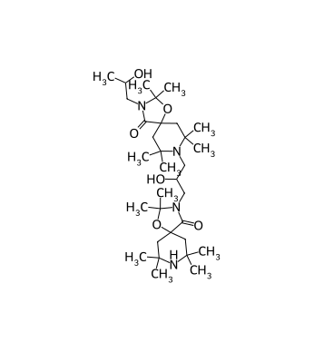 CC(O)CN1C(=O)C2(CC(C)(C)N(CC(O)CN3C(=O)C4(CC(C)(C)NC(C)(C)C4)OC3(C)C)C(C)(C)C2)OC1(C)C